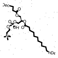 CCCCCCCCCCCCCCCCCCCCC(=O)O[C@H](COC(=O)CCCCCCCCCCCC)COP(=O)(O)OCC[N+](C)(C)C